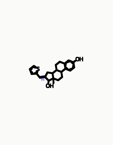 CC12CCC3c4ccc(O)cc4CCC3C1C/C(=C\c1cccs1)C2O